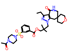 CCc1nn(CC(C)(C)COC(=O)c2cccc(S(=O)(=O)N3CCN(C(C)=O)CC3)c2)c2c1C(=O)NCC1(CCOCC1)C2